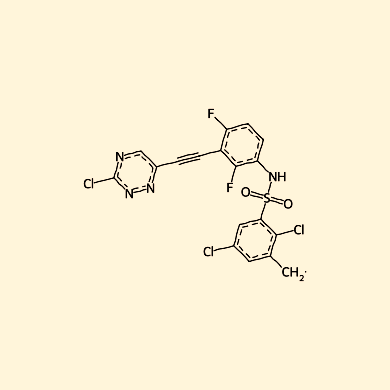 [CH2]c1cc(Cl)cc(S(=O)(=O)Nc2ccc(F)c(C#Cc3cnc(Cl)nn3)c2F)c1Cl